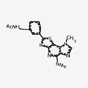 CNc1nc2nc(-c3cccc(CNC(C)=O)c3)sc2c2c1ncn2C